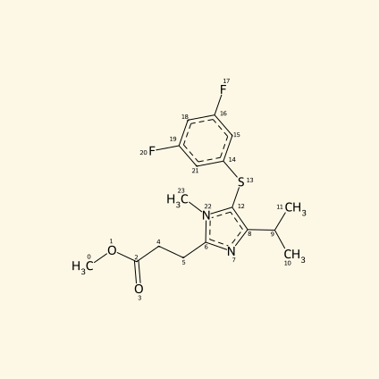 COC(=O)CCc1nc(C(C)C)c(Sc2cc(F)cc(F)c2)n1C